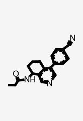 CCC(=O)NC1CCCc2c(-c3ccc(C#N)cc3)cncc21